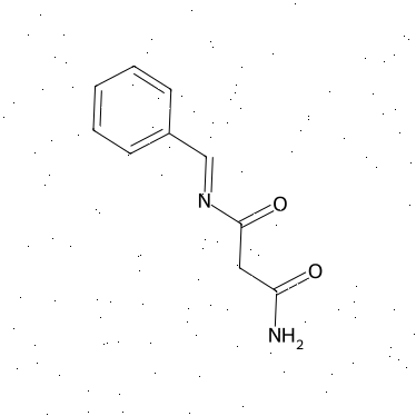 NC(=O)CC(=O)N=Cc1ccccc1